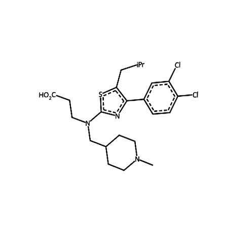 CC(C)Cc1sc(N(CCC(=O)O)CC2CCN(C)CC2)nc1-c1ccc(Cl)c(Cl)c1